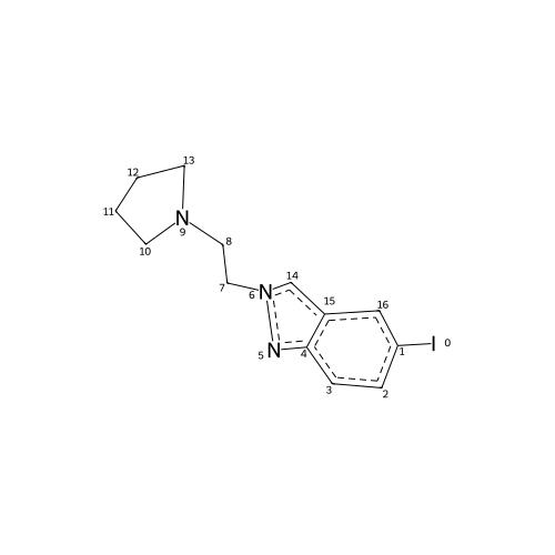 Ic1ccc2nn(CCN3CCCC3)cc2c1